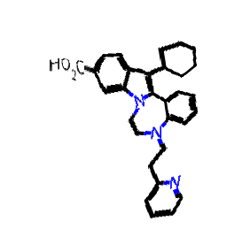 O=C(O)c1ccc2c(C3CCCCC3)c3n(c2c1)CCN(CCc1ccccn1)c1ccccc1-3